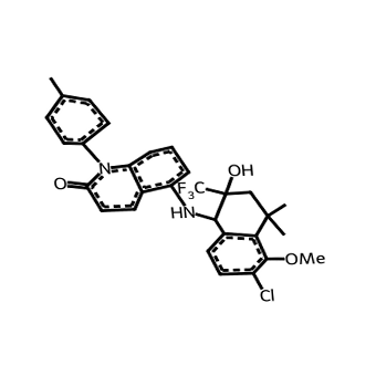 COc1c(Cl)ccc2c1C(C)(C)CC(O)(C(F)(F)F)C2Nc1cccc2c1ccc(=O)n2-c1ccc(C)cc1